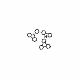 c1cc2c(cc#1)c1cc(-n3c4ccccc4c4ccc(-c5cccc(-n6c7ccccc7c7ccccc76)c5)cc43)ccc1c1ccccc21